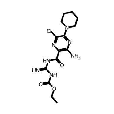 CCOC(=O)NC(=N)NC(=O)c1nc(Cl)c(N2CCCCC2)nc1N